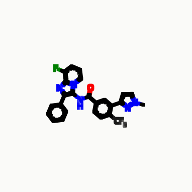 Cn1ccc(-c2cc(C(=O)Nc3c(-c4ccccc4)nc4c(F)cccn34)ccc2C(F)(F)F)n1